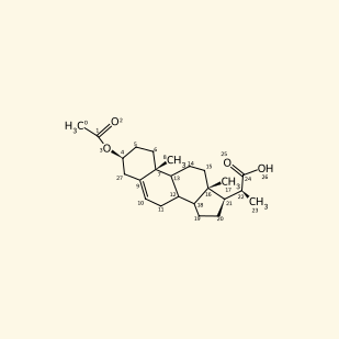 CC(=O)O[C@H]1CC[C@@]2(C)C(=CCC3C2CC[C@@]2(C)C3CC[C@@H]2[C@H](C)C(=O)O)C1